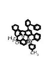 Cc1ccc(Nc2ccccc2-c2cc(-c3ccccc3-c3ccccc3)c3c4c5ccccc5cc5c4n4c3c2Bc2cccc(c2-4)C5(C)C)cc1